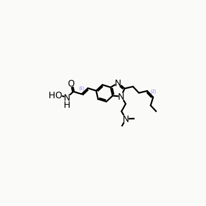 CC/C=C\CCc1nc2cc(/C=C/C(=O)NO)ccc2n1CCN(C)C